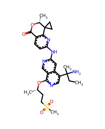 CCC(C)(N)c1cnc(O[C@@H](C)CCS(C)(=O)=O)c2cnc(Nc3ccc4c(n3)C3(CC3)[C@@H](C)OC4=O)cc12